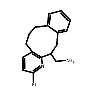 CCc1ccc2c(n1)C(CN)Cc1ccccc1CCC2